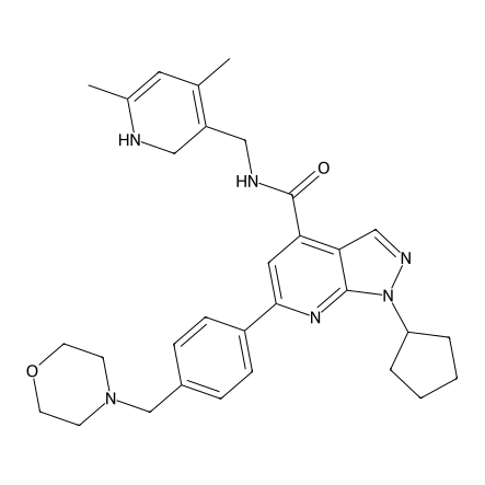 CC1=CC(C)=C(CNC(=O)c2cc(-c3ccc(CN4CCOCC4)cc3)nc3c2cnn3C2CCCC2)CN1